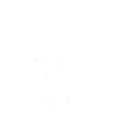 COc1nc2c(N)nc3ccccc3c2n1Cc1ccccc1